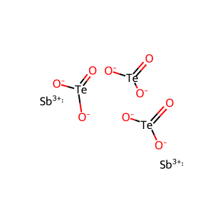 O=[Te]([O-])[O-].O=[Te]([O-])[O-].O=[Te]([O-])[O-].[Sb+3].[Sb+3]